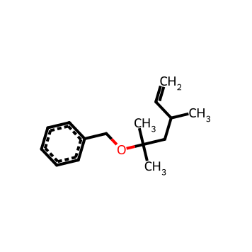 C=CC(C)CC(C)(C)OCc1ccccc1